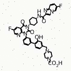 O=C(N[C@H]1CC[C@@H](n2c(=O)c3cc(F)cnc3n(-c3cccc(-c4ccc(CN5CCN(C(=O)O)CC5)cc4O)c3)c2=O)CC1)c1cn2cc(F)ccc2n1